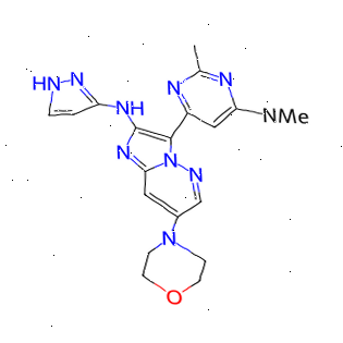 CNc1cc(-c2c(Nc3cc[nH]n3)nc3cc(N4CCOCC4)cnn23)nc(C)n1